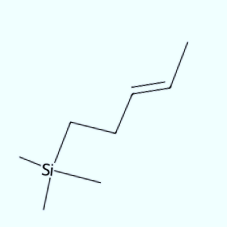 CC=CCC[Si](C)(C)C